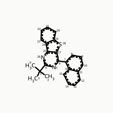 CC(C)(C)c1nc(-c2cccc3ccccc23)c2sc3ccccc3c2n1